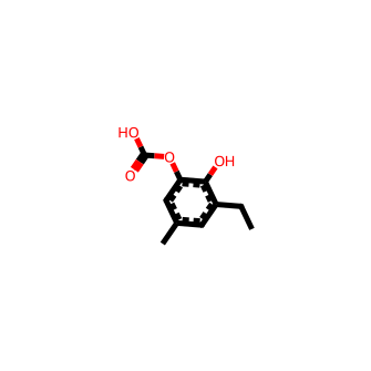 CCc1cc(C)cc(OC(=O)O)c1O